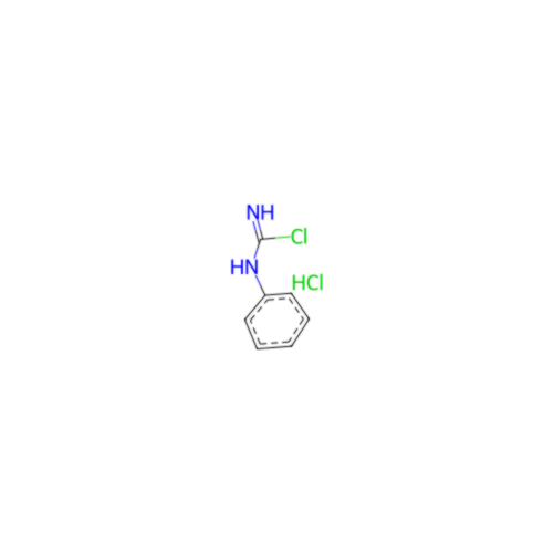 Cl.N=C(Cl)Nc1ccccc1